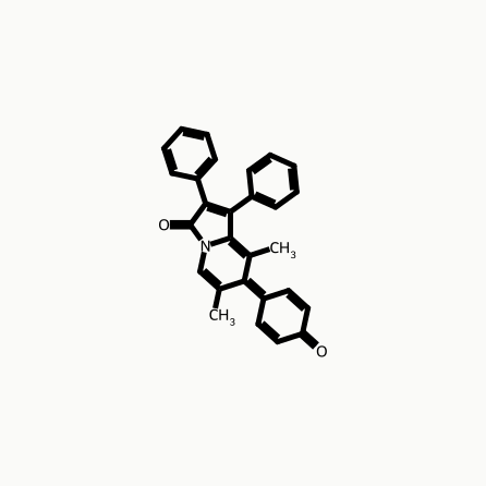 CC1=CN2C(=O)C(c3ccccc3)=C(c3ccccc3)C2=C(C)C1=C1C=CC(=O)C=C1